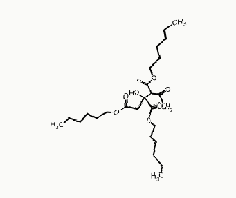 CCCCCCOC(=O)CC(O)(C(=O)OCCCCCC)C(C(C)=O)C(=O)OCCCCCC